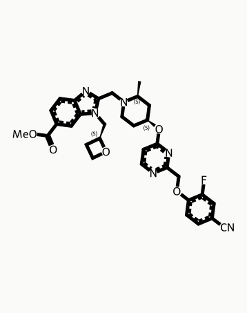 COC(=O)c1ccc2nc(CN3CC[C@H](Oc4ccnc(COc5ccc(C#N)cc5F)n4)C[C@@H]3C)n(C[C@@H]3CCO3)c2c1